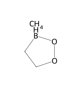 B1CCOO1.C